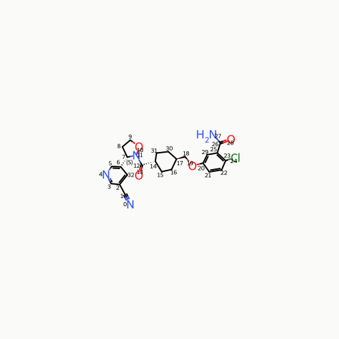 N#Cc1cncc([C@@H]2CCON2C(=O)[C@H]2CC[C@H](COc3ccc(Cl)c(C(N)=O)c3)CC2)c1